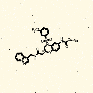 CC(C)(C)OC(=O)Nc1ccc2c(c1)N(S(=O)(=O)c1cccc(C(F)(F)F)c1)C[C@H](CC(=O)NCc1cnn3ccccc13)O2